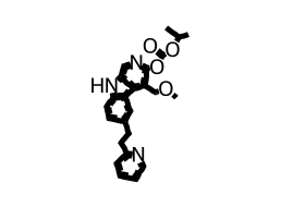 COCc1c(OC(=O)OC(C)C)ncc2[nH]c3ccc(CCc4ccccn4)cc3c12